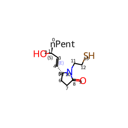 CCCCC[C@H](O)/C=C/[C@H]1CCC(=O)N1CCS